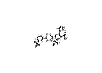 O=[N+]([O-])c1cc(C(F)(F)F)c(N2CCN(c3cccc(C(F)(F)F)c3)CC2)cc1-n1ccnc1